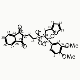 COc1ccc(S(=O)(=O)N(Cc2ccco2)S(=O)(=O)CCN2C(=O)c3ccccc3C2=O)cc1OC